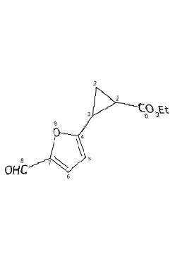 CCOC(=O)C1CC1c1ccc(C=O)o1